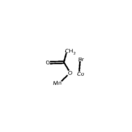 CC(=O)[O][Mn].[Co][Br]